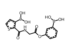 O=C(CNC(=O)c1sccc1B(O)O)Oc1cccc(B(O)O)c1